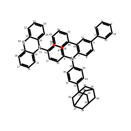 c1ccc(-c2ccc(N(c3ccc(N4c5ccccc5Sc5ccccc54)cc3)c3ccc(C45CC6CC(CC(C6)C4)C5)cc3)c(-c3ccccc3)c2)cc1